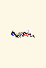 C=CC(=O)NC1CC2CN(S(=O)(=O)c3ccc(-c4ccccn4)s3)CC2O1